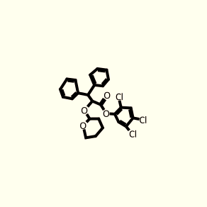 O=C(Oc1cc(Cl)c(Cl)cc1Cl)C(OC1CCCCO1)C(c1ccccc1)c1ccccc1